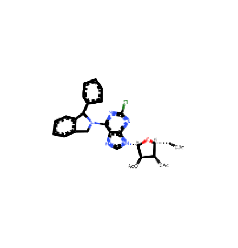 CC(=O)OC[C@H]1O[C@@H](n2cnc3c(N4Cc5ccccc5C4c4ccccc4)nc(Cl)nc32)C(OC(C)=O)C1OC(C)=O